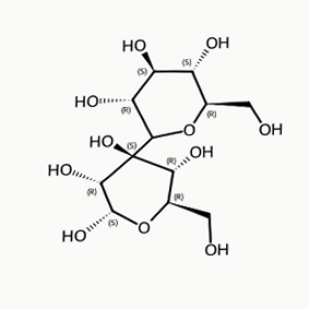 OC[C@H]1OC([C@]2(O)[C@H](O)[C@@H](CO)O[C@H](O)[C@@H]2O)[C@H](O)[C@@H](O)[C@@H]1O